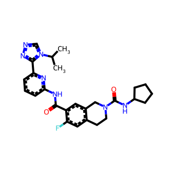 CC(C)n1cnnc1-c1cccc(NC(=O)c2cc3c(cc2F)CCN(C(=O)NC2CCCC2)C3)n1